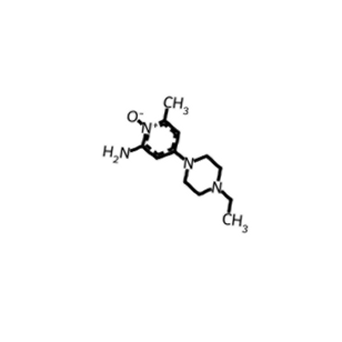 CCN1CCN(c2cc(C)[n+]([O-])c(N)c2)CC1